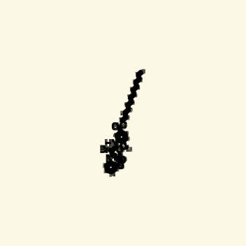 CCCCCCCCCCCCCCOC(=O)c1ccc(OC)c(NC(=O)C(Br)C2=Nc3ccccc3S(=O)(=O)N2C)c1